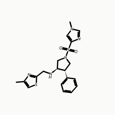 Cc1csc(CN[C@H]2CN(S(=O)(=O)c3cn(C)cn3)C[C@@H]2c2ccccc2)n1